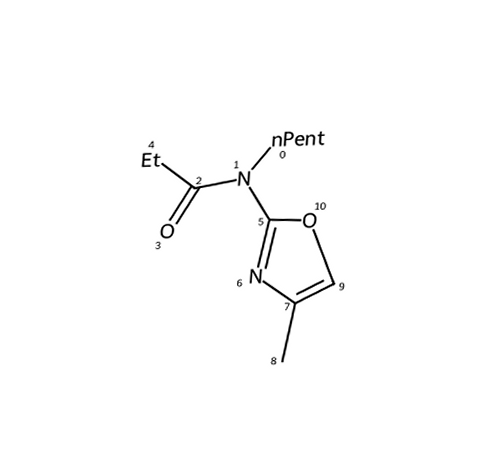 CCCCCN(C(=O)CC)c1nc(C)co1